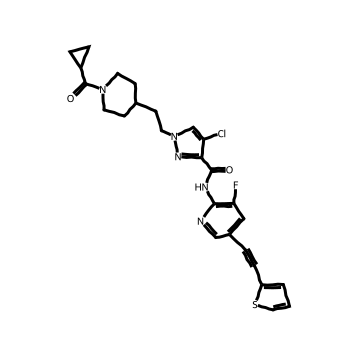 O=C(Nc1ncc(C#Cc2cccs2)cc1F)c1nn(CCC2CCN(C(=O)C3CC3)CC2)cc1Cl